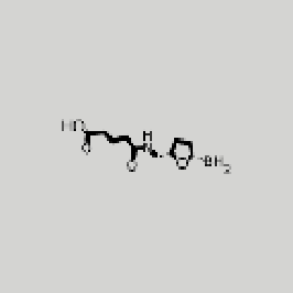 B[C@H]1CC[C@@H](CNC(=O)CCCC(=O)O)O1